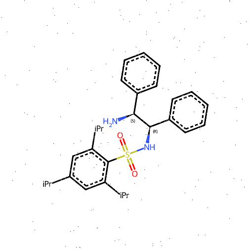 CC(C)c1cc(C(C)C)c(S(=O)(=O)N[C@H](c2ccccc2)[C@@H](N)c2ccccc2)c(C(C)C)c1